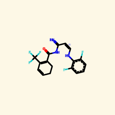 N=C(/C=C\Nc1c(F)cccc1F)NC(=O)C1=C(C(F)(F)F)C=CCC1